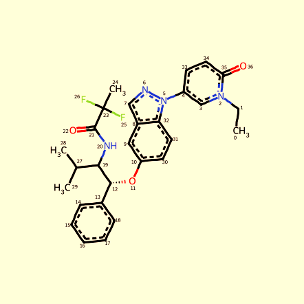 CCn1cc(-n2ncc3cc(O[C@H](c4ccccc4)C(NC(=O)C(C)(F)F)C(C)C)ccc32)ccc1=O